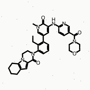 CCc1c(-c2cc(Nc3ccc(C(=O)N4CCOCC4)cn3)c(=O)n(C)c2)cccc1N1CCn2c(cc3c2CCCC3)C1=O